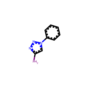 Pc1cn(-c2ccccc2)nn1